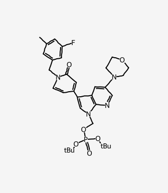 Cc1cc(F)cc(Cn2ccc(-c3cn(COP(=O)(OC(C)(C)C)OC(C)(C)C)c4ncc(N5CCOCC5)cc34)cc2=O)c1